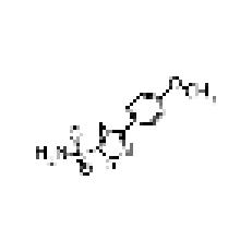 COc1ccc(-c2nsc(S(N)(=O)=O)n2)cc1